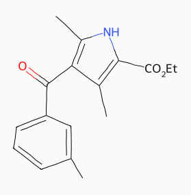 CCOC(=O)c1[nH]c(C)c(C(=O)c2cccc(C)c2)c1C